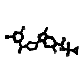 Cc1nn([C@@H]2CCN(C(=O)c3cc(Cl)cc(Cl)c3)C2)c2cc(F)c(C(=O)NS(=O)(=O)C3CC3)cc12